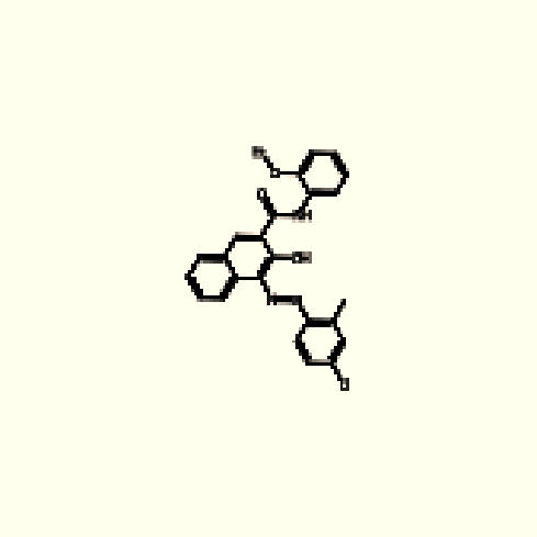 CCOc1ccccc1NC(=O)c1cc2ccccc2c(N=Nc2ccc(Cl)cc2C)c1O